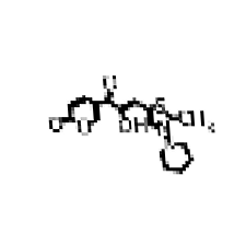 CC1SC(C=C(O)C(=O)c2ccc(=O)oc2)=CN1N1CCCCC1